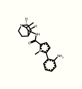 C[C@H]1[C@H](NC(=O)c2ccc(-c3ccccc3N)n2C)C2CCN1CC2